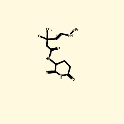 CCCN/C=C/C(C)(F)CC(=O)NC1CCC(=O)NC1=O